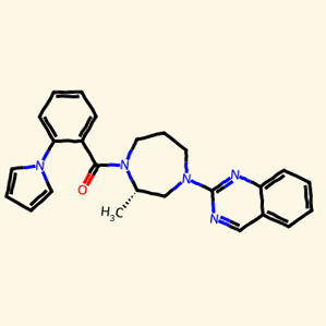 C[C@H]1CN(c2ncc3ccccc3n2)CCCN1C(=O)c1ccccc1-n1cccc1